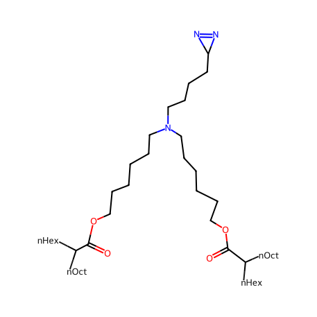 CCCCCCCCC(CCCCCC)C(=O)OCCCCCCN(CCCCCCOC(=O)C(CCCCCC)CCCCCCCC)CCCCC1N=N1